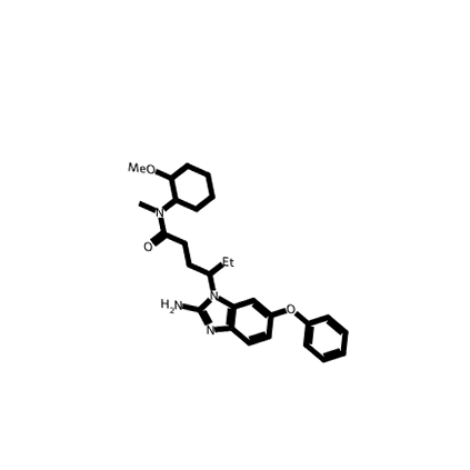 CCC(CCC(=O)N(C)C1CCCCC1OC)n1c(N)nc2ccc(Oc3ccccc3)cc21